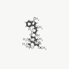 COC(=O)/C(C)=C/[C@H](C(C)C)N(C)C(=O)[C@@H](NC(=O)CC(C)(C)c1cn(C)c2ccccc12)C(C)(C)C